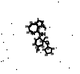 Cn1ccc2c1=C(NC1C=CC(F)=CC1(C)OC1CCCC1)N=CC=C=2